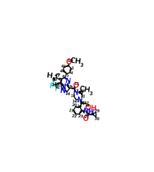 COc1ccc(-c2nc3c(C(=O)N4CCN([C@@H](CO)c5ccccc5NC(=O)C5CC5)C[C@H]4C)cnn3c(C(F)(F)F)c2C)cc1